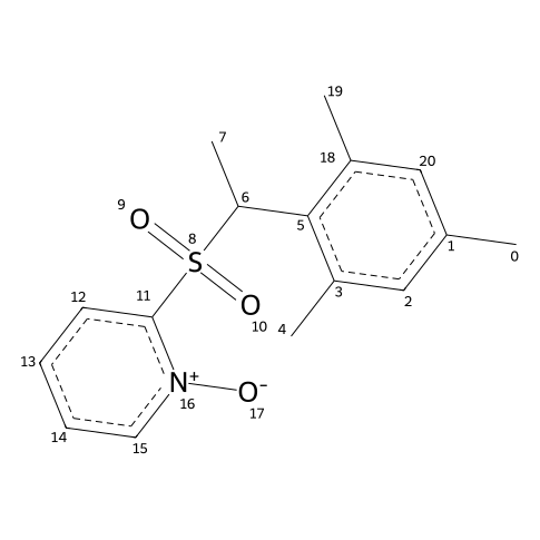 Cc1cc(C)c(C(C)S(=O)(=O)c2cccc[n+]2[O-])c(C)c1